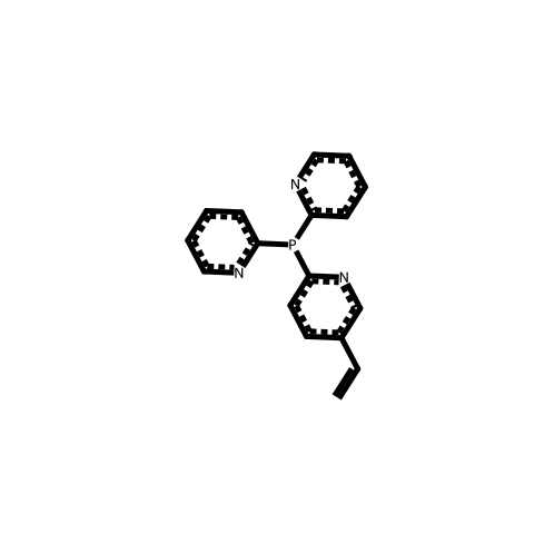 C=Cc1ccc(P(c2ccccn2)c2ccccn2)nc1